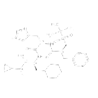 CC(C)(C)S(=O)(=O)C[C@@H](Cc1ccccc1)C(=O)N[C@@H](Cc1c[nH]cn1)C(=O)N[C@@H](CC1CCCCC1)[C@@H](O)[C@H](F)C1CC1